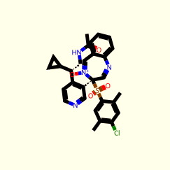 CC(=O)NC[C@H](c1ccncc1[C@@]1(S(=O)(=O)c2cc(C)c(Cl)cc2C)C=Nc2ccccc2C=[N+]1[O-])C1CC1